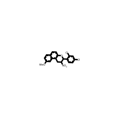 COc1ccc2ccc3c(c2c1)CC([N+](=O)[O-])C(c1ccc(Cl)cc1Cl)O3